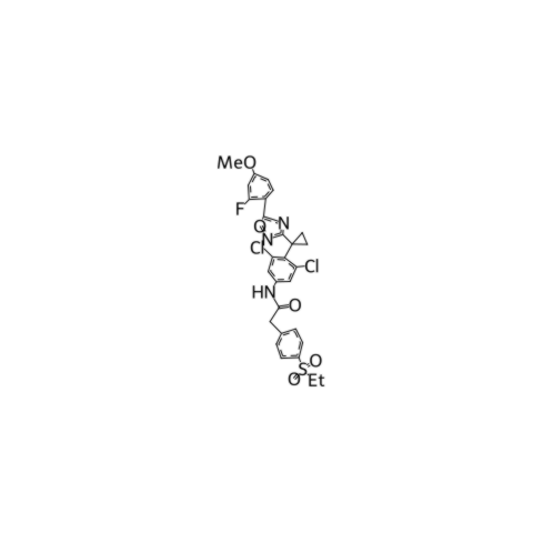 CCS(=O)(=O)c1ccc(CC(=O)Nc2cc(Cl)c(C3(c4noc(-c5ccc(OC)cc5F)n4)CC3)c(Cl)c2)cc1